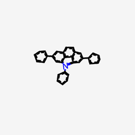 c1ccc(-c2cc3ccc4cc(-c5ccccc5)cc5c4c3c(c2)n5-c2ccccc2)cc1